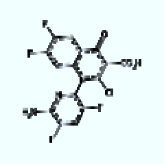 Nc1nc(-n2c(Cl)c(C(=O)O)c(=O)c3cc(F)c(F)cc32)c(F)cc1F